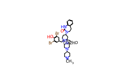 CN1CCC(N2CCN(C3(CC=O)CC(N4CCc5ccccc5NC4=O)CC[N@+]3(Cc3cc(Br)c(O)c(Br)c3)C(=O)[O-])CC2)CC1